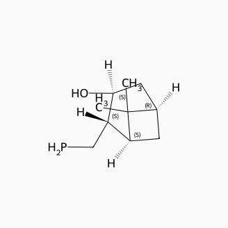 CC1(C)[C@H]2C[C@H](O)[C@@H](CP)[C@@H]1C2